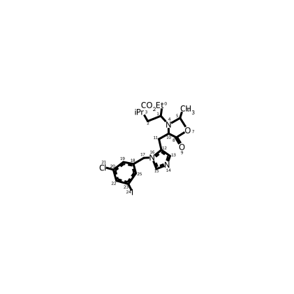 CCOC(=O)C(CC(C)C)N1C(C)OC(=O)C1Cc1cncn1Cc1cc(Cl)cc(I)c1